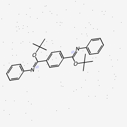 CC(C)(C)O/C(=N\c1ccccc1)c1ccc(/C(=N/c2ccccc2)OC(C)(C)C)cc1